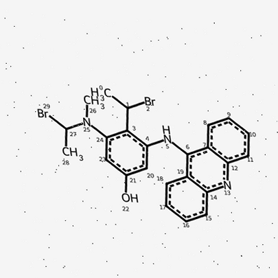 CC(Br)c1c(Nc2c3ccccc3nc3ccccc23)cc(O)cc1N(C)C(C)Br